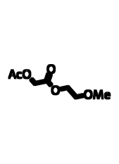 COCCOC(=O)COC(C)=O